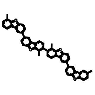 Cc1ccc2oc3ccc(-c4ccc5oc6c(C)c(-c7ccc8c(oc9ccc(-c%10ccc%11oc%12c(C)cccc%12c%11c%10)cc98)c7C)ccc6c5c4)cc3c2c1